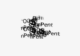 CCCCCOC(CCCCC)(CC(=O)[O-])C([O-])=S.CCCCCOC(CCCCC)(CC(=O)[O-])C([O-])=S.CCCCCOC(CCCCC)(CC(=O)[O-])C([O-])=S.[Bi+3].[Bi+3]